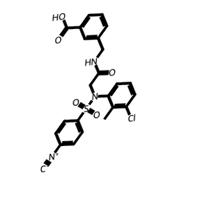 [C-]#[N+]c1ccc(S(=O)(=O)N(CC(=O)NCc2cccc(C(=O)O)c2)c2cccc(Cl)c2C)cc1